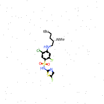 CN[C@@H](CCC(C)(C)C)CNc1cc(F)c(S(=O)(=O)Nc2ncc(F)s2)cc1Cl